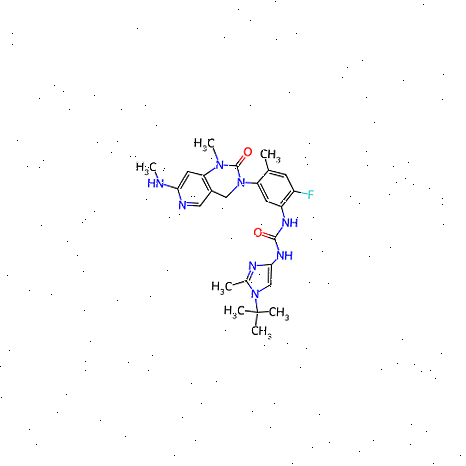 CNc1cc2c(cn1)CN(c1cc(NC(=O)Nc3cn(C(C)(C)C)c(C)n3)c(F)cc1C)C(=O)N2C